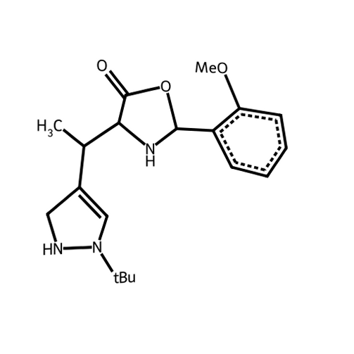 COc1ccccc1C1NC(C(C)C2=CN(C(C)(C)C)NC2)C(=O)O1